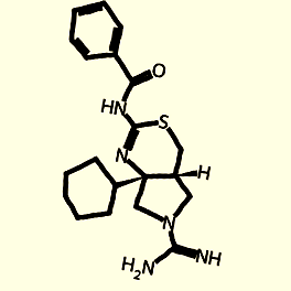 N=C(N)N1C[C@H]2CSC(NC(=O)c3ccccc3)=N[C@@]2(C2CCCCC2)C1